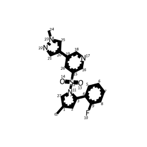 [CH2]c1cc(-c2ccccc2F)n(S(=O)(=O)c2cncc(-c3cnn(C)c3)c2)c1